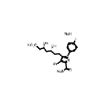 CNC(=O)c1nn(-c2ccc(F)cc2)c(CC[C@@H](O)C[C@@H](O)CC(=O)O)c1C(C)C.[NaH]